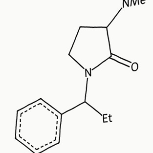 CCC(c1ccccc1)N1CCC(NC)C1=O